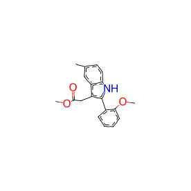 COC(=O)Cc1c(-c2ccccc2OC)[nH]c2ccc(C)cc12